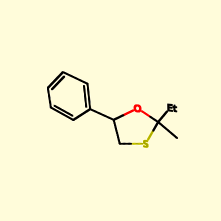 CCC1(C)OC(c2ccccc2)CS1